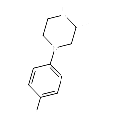 C[C@@H]1CN(c2ccc(F)cc2)C[C@H](C)N1